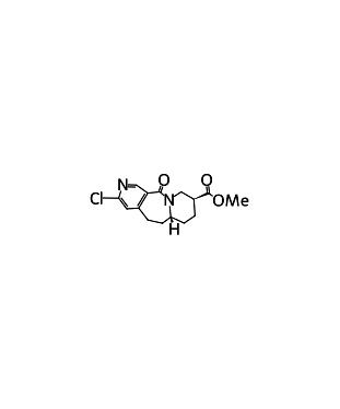 COC(=O)[C@H]1CC[C@@H]2CCc3cc(Cl)ncc3C(=O)N2C1